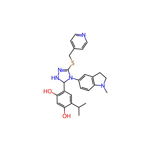 CC(C)c1cc(C2NN=C(SCc3ccncc3)N2c2ccc3c(c2)CCN3C)c(O)cc1O